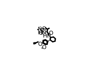 C#CCOc1ccc([C@@H]2CCCC[C@H]2NC(=O)[C@@H](NS(=O)(=O)N(C)C)C(C)C)cc1OC